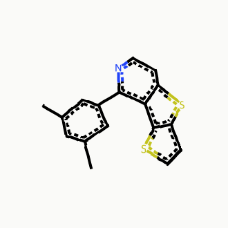 Cc1cc(C)cc(-c2nccc3sc4ccsc4c23)c1